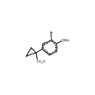 COc1ccc(C2(C(=O)O)CC2)cc1Br